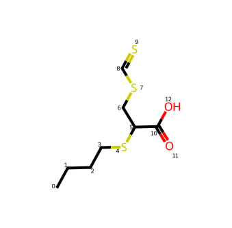 CCCCSC(CSC=S)C(=O)O